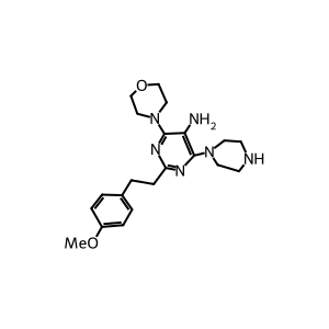 COc1ccc(CCc2nc(N3CCNCC3)c(N)c(N3CCOCC3)n2)cc1